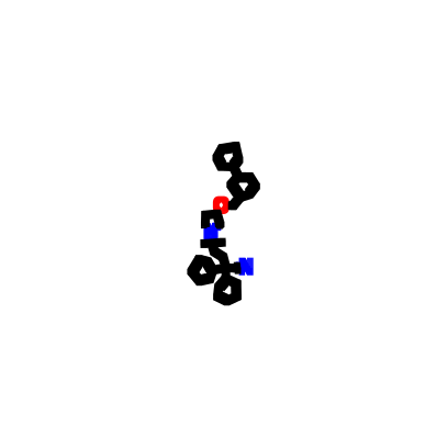 CC(C)(CCC(C#N)(c1ccccc1)c1ccccc1)N1CC[C@H](OCc2cccc(-c3ccccc3)c2)C1